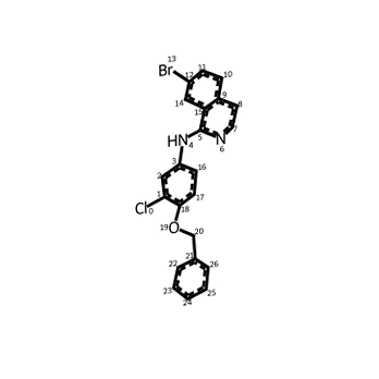 Clc1cc(Nc2nccc3ccc(Br)cc23)ccc1OCc1ccccc1